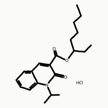 CCCCCC(CC)OC(=O)c1cc2ccccc2n(C(C)C)c1=O.Cl